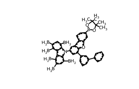 Bc1cc(B)c2c(c1B)c1c(B)c(B)cc(B)c1n2-c1cc(-c2cccc(-c3ccccc3)c2)c2oc3cc(B4OC(C)(C)C(C)(C)O4)ccc3c2c1